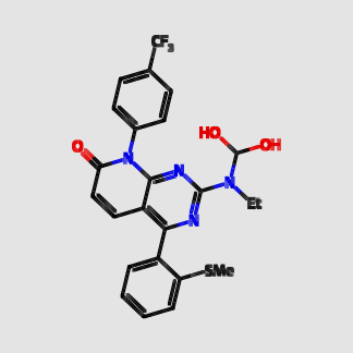 CCN(c1nc(-c2ccccc2SC)c2ccc(=O)n(-c3ccc(C(F)(F)F)cc3)c2n1)C(O)O